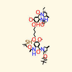 C=C1C[C@@H](CC)N(C(=O)c2cc(OC)c(OCCCCCOc3cc(NC(=C)OC[C@@H](C)S)c(C(=O)N4CC(=C)C[C@H]4CO[Si](C)(C)C(C)(C)C)cc3OC)cc2NB(C)O)C1